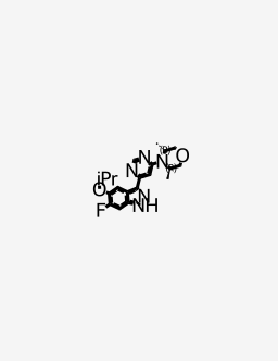 CC(C)Oc1cc2c(-c3cc(N4[C@H](C)COC[C@H]4C)ncn3)n[nH]c2cc1F